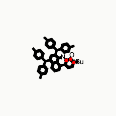 CC(=Nc1c(C(c2ccc(C)cc2)c2ccc(C)cc2)cc(C(c2ccc(C)cc2)c2ccc(C)cc2)c2cccc(-c3ccc(C)cc3)c12)C(=O)C(C)(C)C